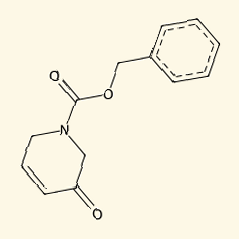 O=C1C=CCN(C(=O)OCc2ccccc2)C1